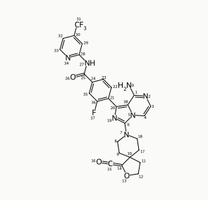 Nc1nccn2c(N3CCC4(CCOC4=C=O)CC3)nc(-c3ccc(C(=O)Nc4cc(C(F)(F)F)ccn4)cc3F)c12